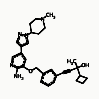 CN1CCC(n2cc(-c3cnc(N)c(OCc4cccc(C#CC(C)(O)C5CCC5)c4)c3)cn2)CC1